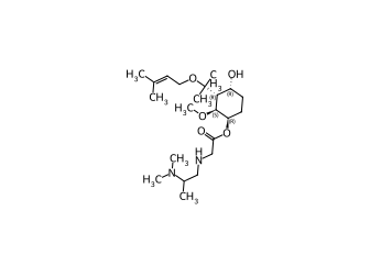 CO[C@H]1[C@H](C(C)(C)OCC=C(C)C)[C@H](O)CC[C@H]1OC(=O)CNCC(C)N(C)C